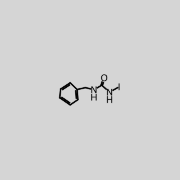 O=C(NI)NCc1ccccc1